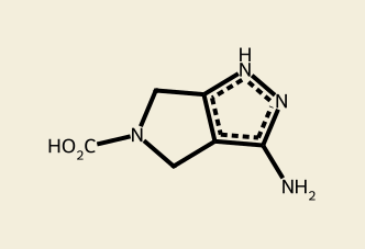 Nc1n[nH]c2c1CN(C(=O)O)C2